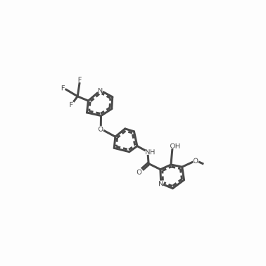 COc1ccnc(C(=O)Nc2ccc(Oc3ccnc(C(F)(F)F)c3)cc2)c1O